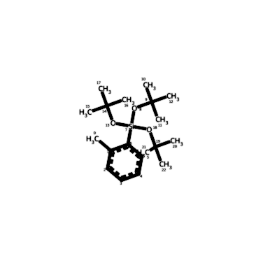 Cc1ccccc1[Si](OC(C)(C)C)(OC(C)(C)C)OC(C)(C)C